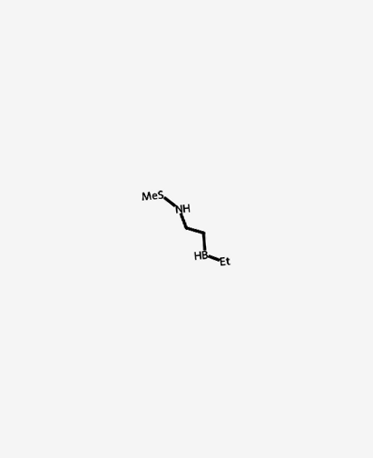 CCBCCNSC